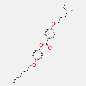 C=CCCCCOc1ccc(OC(=O)c2ccc(OCCC[C@@H](C)CC)cc2)cc1